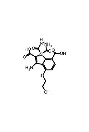 NC(=O)S1(C(N)=O)C(C(=O)O)=C(N)c2c(OCCO)ccc(C(=O)O)c21